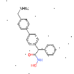 CC(=O)NCc1ccc(-c2ccc(C(C(=O)NO)c3ccccc3)cc2)cc1